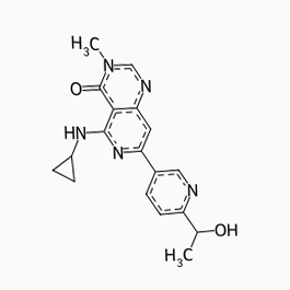 CC(O)c1ccc(-c2cc3ncn(C)c(=O)c3c(NC3CC3)n2)cn1